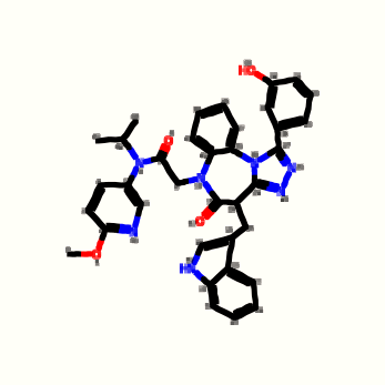 COc1ccc(N(C(=O)CN2C(=O)C(Cc3c[nH]c4ccccc34)c3nnc(-c4cccc(O)c4)n3-c3ccccc32)C(C)C)cn1